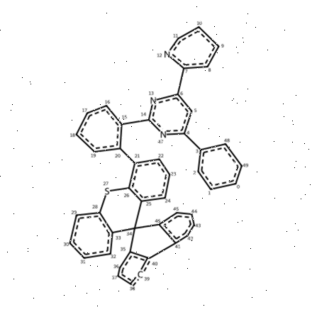 c1ccc(-c2cc(-c3ccccn3)nc(-c3ccccc3-c3cccc4c3Sc3ccccc3C43c4ccccc4-c4ccccc43)n2)cc1